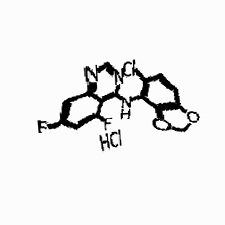 Cl.Fc1cc(F)c2c(Nc3c(Cl)ccc4c3OCO4)ncnc2c1